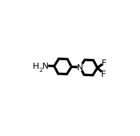 NC1CCC(N2CCC(F)(F)CC2)CC1